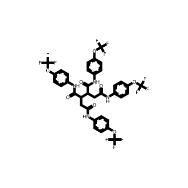 O=C(CC(C(=O)Nc1ccc(OC(F)(F)F)cc1)C(CC(=O)Nc1ccc(OC(F)(F)F)cc1)C(=O)Nc1ccc(OC(F)(F)F)cc1)Nc1ccc(OC(F)(F)F)cc1